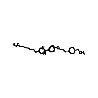 CCCCCCCCc1cnc(-c2ccc(OCCC[C@H]3CC[C@H](CC)CC3)cc2)nc1